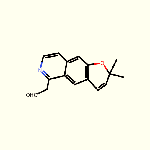 CC1(C)C=Cc2cc3c(CC=O)nccc3cc2O1